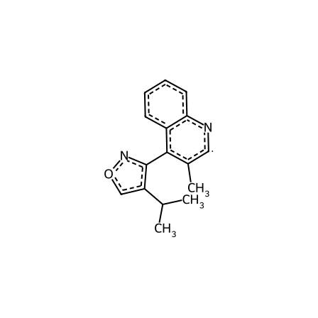 Cc1[c]nc2ccccc2c1-c1nocc1C(C)C